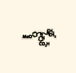 COc1ccc(CN(CCN(C)C)c2ccc(C(=O)O)cn2)cc1